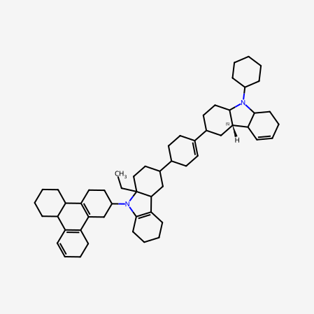 CCC12CCC(C3CC=C(C4CCC5[C@@H](C4)C4C=CCCC4N5C4CCCCC4)CC3)CC1C1=C(CCCC1)N2C1CCC2=C(C1)C1=C(C=CCC1)C1CCCCC21